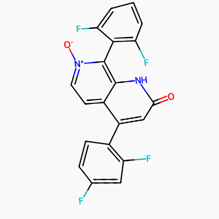 O=c1cc(-c2ccc(F)cc2F)c2cc[n+]([O-])c(-c3c(F)cccc3F)c2[nH]1